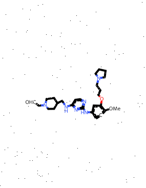 COc1ccc(Nc2nccc(NCC3CCN(CC=O)CC3)n2)cc1OCCCN1CCCC1